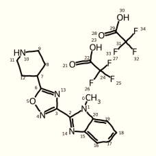 Cn1c(-c2noc(C3CCNCC3)n2)nc2ccccc21.O=C(O)C(F)(F)F.O=C(O)C(F)(F)F